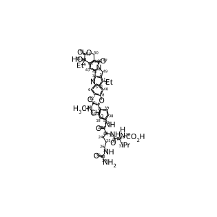 CCc1c2c(nc3ccc(OC(C(=O)N(C)C)c4ccc(NC(=O)[C@H](CCCNC(N)=O)NC(=O)[C@@H](NC(=O)O)C(C)C)cc4)cc13)-c1cc3c(c(=O)n1C2)COC(=O)[C@]3(O)CC